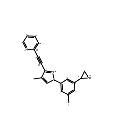 Cc1cn(-c2cc(F)cc(C3CN3)c2)nc1C#Cc1ccccn1